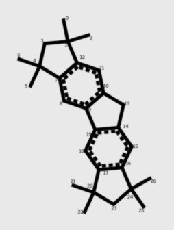 CC1(C)CC(C)(C)c2cc3c(cc21)[CH]c1cc2c(cc1-3)C(C)(C)CC2(C)C